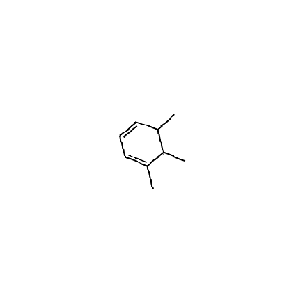 C[C]1C(C)=CC=CC1C